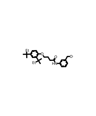 CCC(C)(C)c1ccc(OCCCC(=O)Nc2cccc(C[O])c2)c(C(C)(C)CC)c1